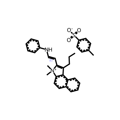 CCCC1=C(/C=C/Nc2ccccc2)[N+](C)(C)c2ccc3ccccc3c21.Cc1ccc(S(=O)(=O)[O-])cc1